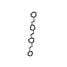 C(=Cc1ccc(N=Nc2ccccc2)cc1)c1ccc(N=Nc2ccccc2)cc1